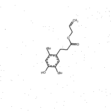 C=CCOC(=O)CCc1cc(C(C)(C)C)c(O)cc1C(C)(C)C